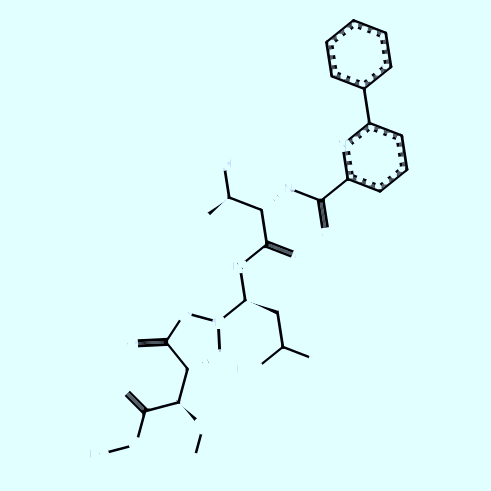 COC(=O)[C@H](OC)[C@H]1OB([C@H](CC(C)C)NC(=O)[C@@H](NC(=O)c2cccc(-c3ccccc3)n2)[C@@H](C)O)OC1=O